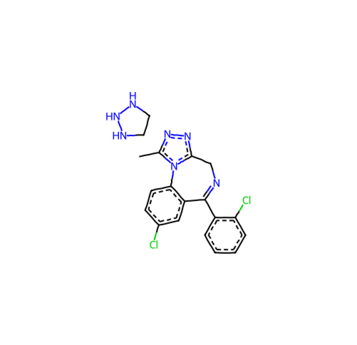 C1CNNN1.Cc1nnc2n1-c1ccc(Cl)cc1C(c1ccccc1Cl)=NC2